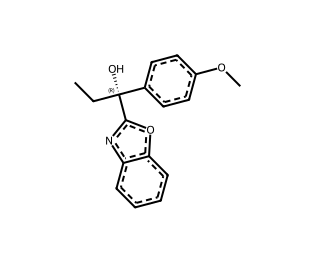 CC[C@@](O)(c1ccc(OC)cc1)c1nc2ccccc2o1